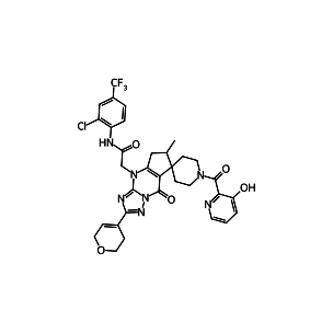 CC1Cc2c(c(=O)n3nc(C4=CCOCC4)nc3n2CC(=O)Nc2ccc(C(F)(F)F)cc2Cl)C12CCN(C(=O)c1ncccc1O)CC2